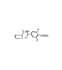 COc1c(F)cc(C(=O)NC(C)C2CCC2)cc1F